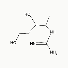 CC(NC(=N)N)C(O)CCO